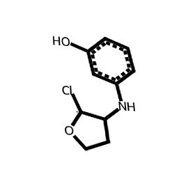 Oc1cccc(NC2CCO[C]2Cl)c1